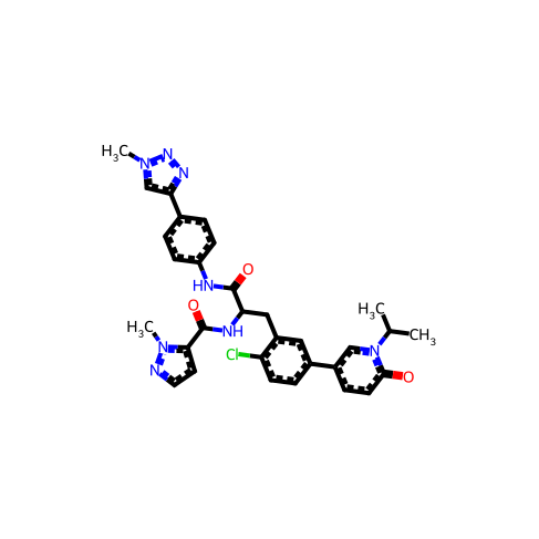 CC(C)n1cc(-c2ccc(Cl)c(CC(NC(=O)c3ccnn3C)C(=O)Nc3ccc(-c4cn(C)nn4)cc3)c2)ccc1=O